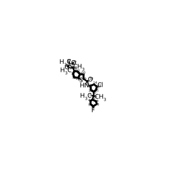 CC(C)(c1ccc(F)cc1)c1cc(Cl)cc(NC(=O)c2cc3cc(C(C)(C)S(C)(=O)=O)ccc3s2)c1